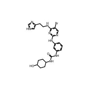 O=C(Nc1cccc(Nc2ncc(Br)c(NCCc3c[nH]cn3)n2)c1)NC1CCC(O)CC1